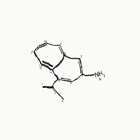 CC(C)c1cc(N)cc2ccccc12